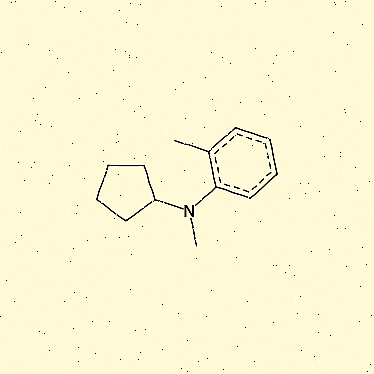 Cc1ccccc1N(C)C1CCCC1